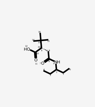 CCC(CC)NC(=O)C[C@H](C(=O)O)C(C)(C)C